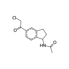 CC(=O)NC1CCc2cc(C(=O)CCl)ccc21